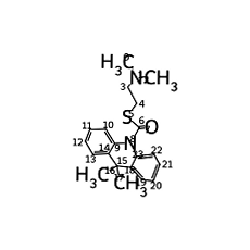 CN(C)CCSC(=O)N1c2ccccc2C(C)(C)c2ccccc21